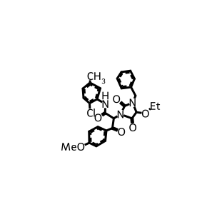 CCOC1C(=O)N(C(C(=O)Nc2cc(C)ccc2Cl)C(=O)c2ccc(OC)cc2)C(=O)N1Cc1ccccc1